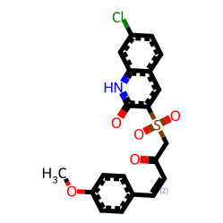 COc1ccc(/C=C\C(=O)CS(=O)(=O)c2cc3ccc(Cl)cc3[nH]c2=O)cc1